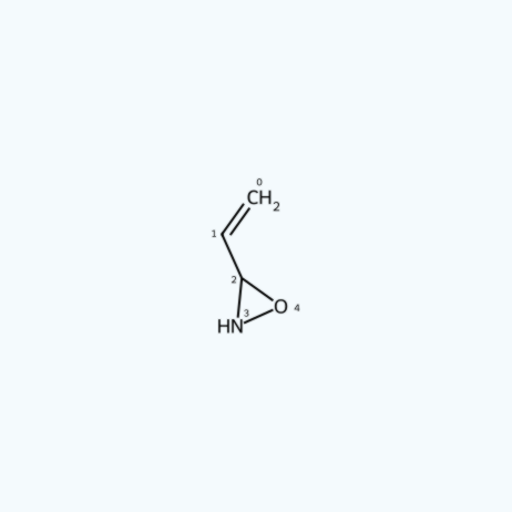 C=CC1NO1